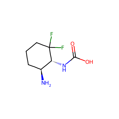 N[C@H]1CCCC(F)(F)[C@@H]1NC(=O)O